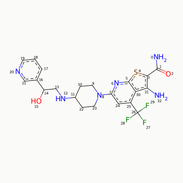 NC(=O)c1sc2nc(N3CCC(NCC(O)c4cccnc4)CC3)cc(C(F)(F)F)c2c1N